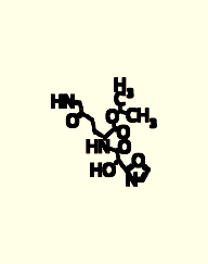 CC(C)OC(=O)[C@H](CCC(=O)C=N)NC(=O)[C@H](O)c1ncco1